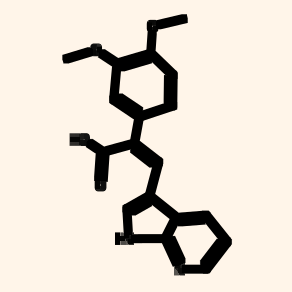 COc1ccc(C(=Cc2c[nH]c3ncccc23)C(=O)O)cc1OC